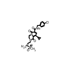 CN(CCN1CCn2c(c(C3CC3)cc(C(=O)NCc3ccc(Cl)cc3)c2=O)C1=O)S(C)(=O)=O